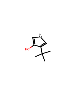 CC(C)(C)C1=C[AsH]C=C1O